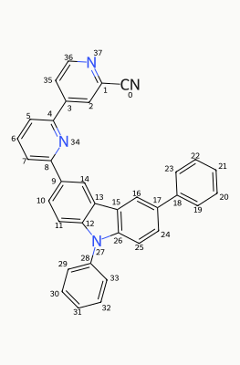 N#Cc1cc(-c2cccc(-c3ccc4c(c3)c3cc(-c5ccccc5)ccc3n4-c3ccccc3)n2)ccn1